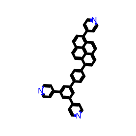 c1cc(-c2cc(-c3ccncc3)cc(-c3ccc(-c4ccc5ccc6c(-c7ccncc7)ccc7ccc4c5c76)cc3)c2)ccn1